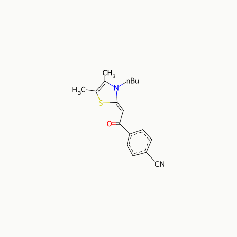 CCCCN1C(C)=C(C)S/C1=C\C(=O)c1ccc(C#N)cc1